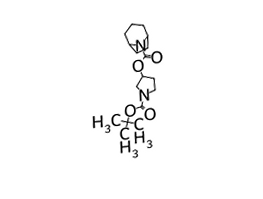 CC(C)(C)OC(=O)N1CCC(OC(=O)N2C3CCCC2CC3)C1